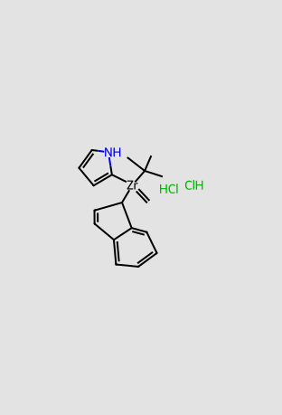 Cl.Cl.[CH2]=[Zr]([c]1ccc[nH]1)([CH]1C=Cc2ccccc21)[C](C)(C)C